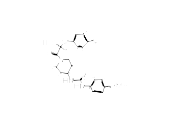 COc1ccc(NC(=O)NC2CCN(C(=O)C(C)(C)Oc3ccc(Cl)cc3)CC2)cc1